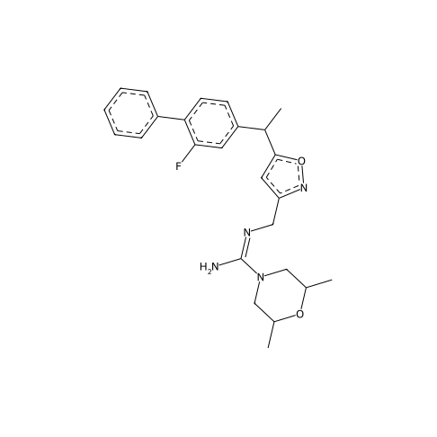 CC1CN(/C(N)=N\Cc2cc(C(C)c3ccc(-c4ccccc4)c(F)c3)on2)CC(C)O1